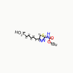 CC(C)(C)OC(=O)NC1=NN=C(CCCCCC(=O)O)CS1